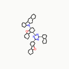 c1ccc2cc3c(cc2c1)c1ccccc1n3-c1ccc(-c2nc(-c3ccc4c(c3)oc3ccccc34)nc(-c3cccc4ccccc34)n2)c2c1oc1ccccc12